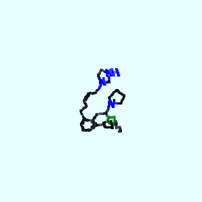 Cc1cccc(CC/C=C\CN2CCNC2)c1CC(Cl)N1CCCC1